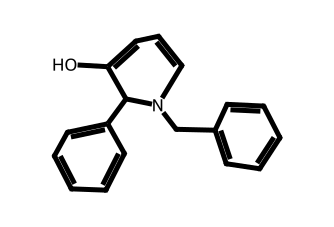 OC1=CC=CN(Cc2ccccc2)C1c1ccccc1